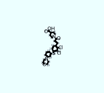 O=C(O)C1CCN(C(=O)/C=C/c2ccc(Sc3cccc(N4CCOCC4)c3)c(Cl)c2Cl)CC1